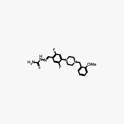 COc1ccccc1CN1CCN(c2cc(F)c(/C=N/NC(N)=S)cc2F)CC1